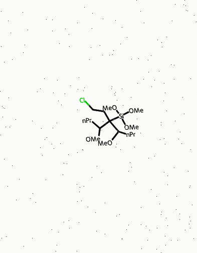 CCCC(OC)C(CCCl)(C(CCC)OC)[Si](OC)(OC)OC